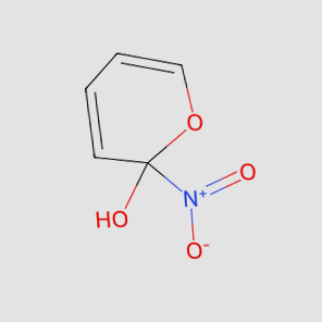 O=[N+]([O-])C1(O)C=CC=CO1